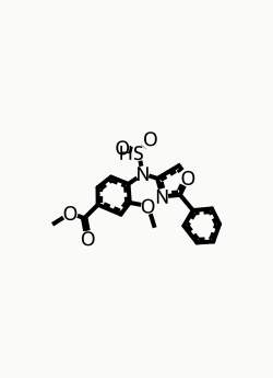 COC(=O)c1ccc(N(c2coc(-c3ccccc3)n2)[SH](=O)=O)c(OC)c1